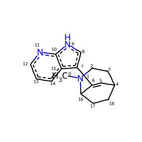 CN1CCC2C=C(c3c[nH]c4ncccc34)C1CC2